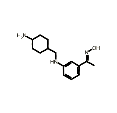 CC(=NO)c1cccc(NCC2CCC(N)CC2)c1